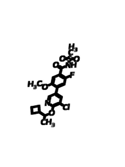 COc1cc(C(=O)NS(C)(=O)=O)c(F)cc1-c1cnc(OC(C)C2CCC2)c(Cl)c1